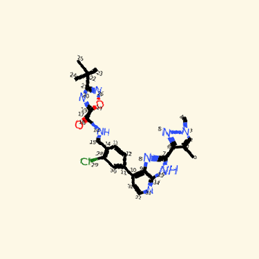 Cc1cn(C)nc1-c1nc2c(-c3ccc(CNC(=O)c4nc(C(C)(C)C)no4)c(Cl)c3)ccnc2[nH]1